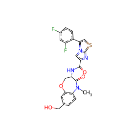 CN1C(=O)[C@@H](NC(=O)c2cn3c(-c4ccc(F)cc4F)csc3n2)COc2cc(CO)ccc21